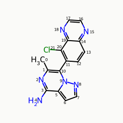 Cc1nc(N)c2ccnn2c1-c1ccc2nccnc2c1Cl